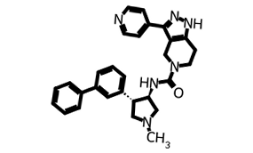 CN1C[C@H](NC(=O)N2CCc3[nH]nc(-c4ccncc4)c3C2)[C@@H](c2cccc(-c3ccccc3)c2)C1